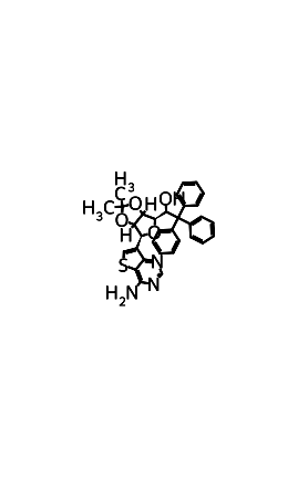 CC1(C)O[C@@H]2[C@H](O1)[C@@H](C(O)C(c1ccccc1)(c1ccccc1)c1ccccc1)O[C@H]2c1csc2c(N)ncnc12